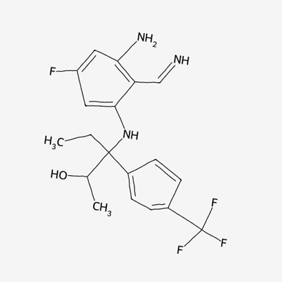 CCC(Nc1cc(F)cc(N)c1C=N)(c1ccc(C(F)(F)F)cc1)C(C)O